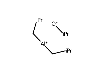 CC(C)[CH2][Al+][CH2]C(C)C.CC(C)[O-]